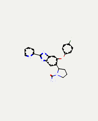 NC(=O)N1CCCC1c1cc2[nH]c(-c3ccccn3)nc2cc1Oc1ccc(F)cc1